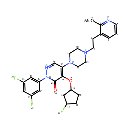 COc1ncccc1CCN1CCN(c2cnn(-c3cc(F)cc(F)c3)c(=O)c2OC2CCC(F)C2)CC1